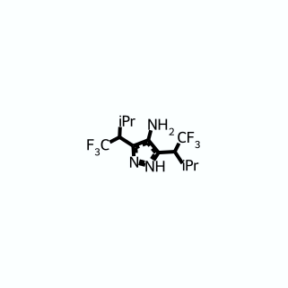 CC(C)C(c1n[nH]c(C(C(C)C)C(F)(F)F)c1N)C(F)(F)F